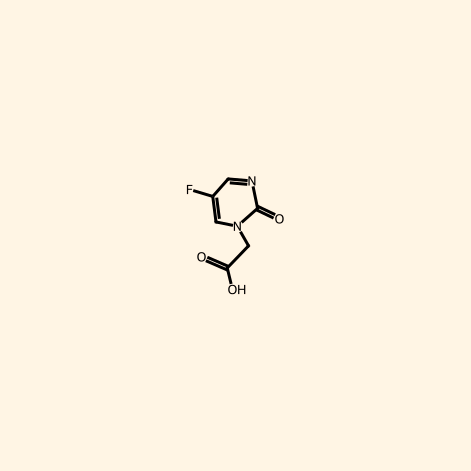 O=C(O)Cn1cc(F)cnc1=O